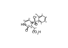 Cc1ccccc1S(=O)(=O)N1C=CNC(=O)C1CC(=O)O